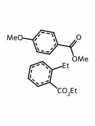 CCOC(=O)c1ccccc1CC.COC(=O)c1ccc(OC)cc1